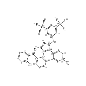 O=C(c1ccccc1Cl)c1cccnc1-c1nnn(Cc2cc(C(F)(F)F)cc(C(F)(F)F)c2)c1-c1cc[n+]([O-])cc1